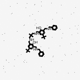 CC(C)(CNCc1cc(C(C)(C)C)cc(CNCc2ccccc2)c1O)CNCc1cc(C(C)(C)C)cc(CNCc2ccccc2)c1O